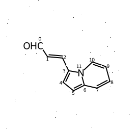 O=CC=Cc1ccc2ccccn12